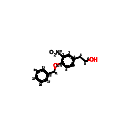 O=[N+]([O-])c1cc(CCO)ccc1OCc1ccccc1